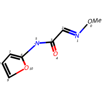 CO/N=C/C(=O)[N]c1ccco1